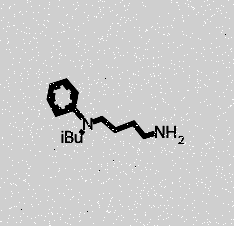 CCC(C)N(CCCCN)c1ccccc1